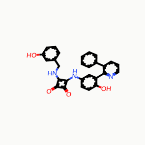 O=c1c(NCc2cccc(O)c2)c(Nc2ccc(O)c(-c3ncccc3-c3ccccc3)c2)c1=O